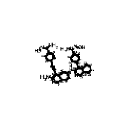 N/C(=N/O)c1ccc(C#Cc2c(N)ncc3ccc(Nc4ncc5ccccc5c4-c4ccc(/C(N)=N\O)cc4)cc23)cc1